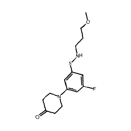 COCCCNSc1cc(F)cc(N2CCC(=O)CC2)c1